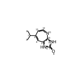 CC(C)C1=Cc2[nH]c(=O)[nH]c2N=C=C1